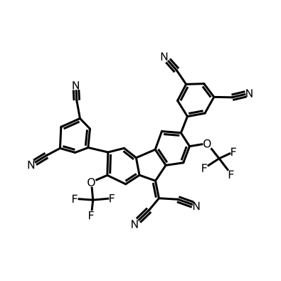 N#CC(C#N)=C1c2cc(OC(F)(F)F)c(-c3cc(C#N)cc(C#N)c3)cc2-c2cc(-c3cc(C#N)cc(C#N)c3)c(OC(F)(F)F)cc21